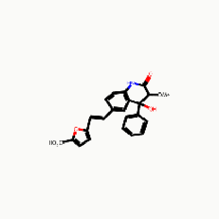 COC1C(=O)Nc2ccc(C=Cc3ccc(C(=O)O)o3)cc2C1(O)c1ccccc1